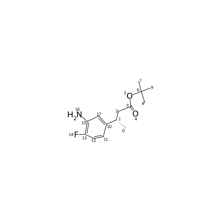 C[C@@H](CC(=O)OC(C)(C)C)c1ccc(F)c(N)c1